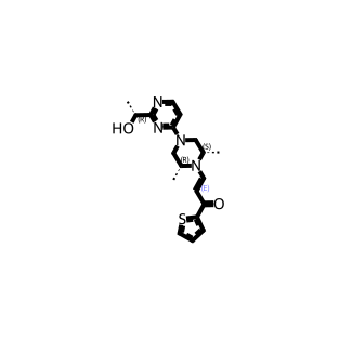 C[C@@H]1CN(c2ccnc([C@@H](C)O)n2)C[C@H](C)N1/C=C/C(=O)c1cccs1